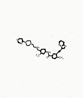 Cc1ccc(C(=O)Nc2ccc(CNCCN3CCN(c4ccncn4)CC3)c(C(F)(F)F)c2)cc1C#Cc1cnc2cccnn12